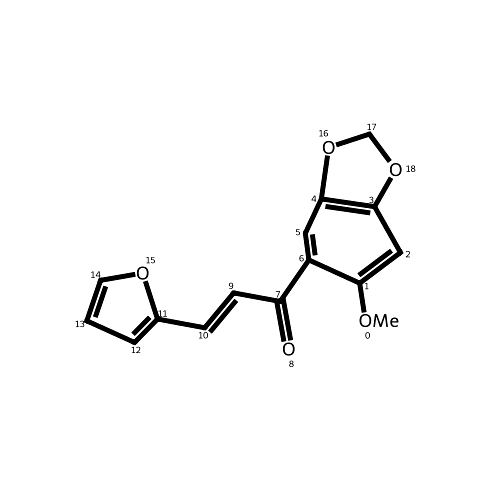 COc1cc2c(cc1C(=O)/C=C/c1ccco1)OCO2